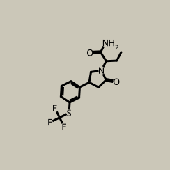 CCC(C(N)=O)N1CC(c2cccc(SC(F)(F)F)c2)CC1=O